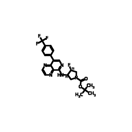 CC(C)(C)OC(=O)N1C[C@H](F)[C@H](Nc2ncc(-c3ccc(C(F)(F)F)cc3)c3nccnc23)C1